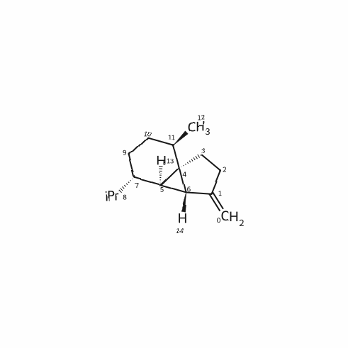 C=C1CC[C@@]23[C@@H]([C@@H]12)[C@H](C(C)C)CC[C@H]3C